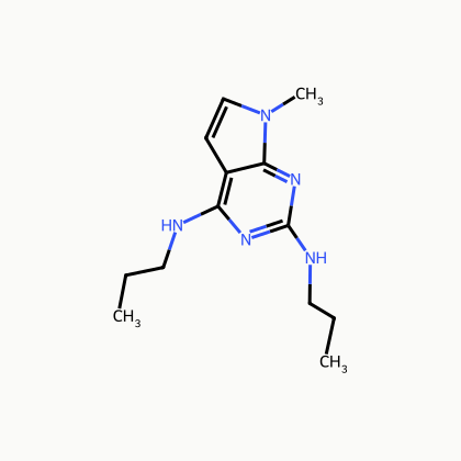 CCCNc1nc(NCCC)c2ccn(C)c2n1